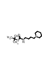 CC(C)(C)OC(=O)NCCCCN1CCCCC1